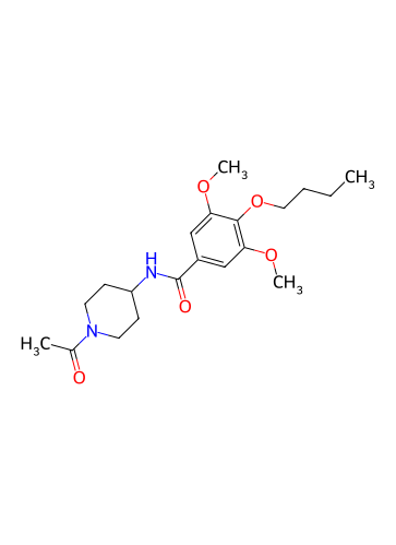 CCCCOc1c(OC)cc(C(=O)NC2CCN(C(C)=O)CC2)cc1OC